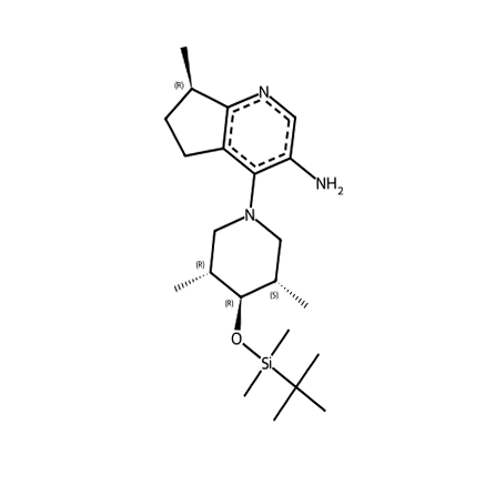 C[C@@H]1CCc2c1ncc(N)c2N1C[C@@H](C)[C@H](O[Si](C)(C)C(C)(C)C)[C@@H](C)C1